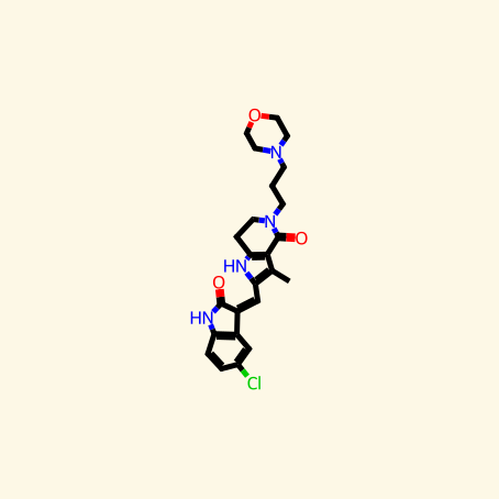 Cc1c(/C=C2\C(=O)Nc3ccc(Cl)cc32)[nH]c2c1C(=O)N(CCCN1CCOCC1)CC2